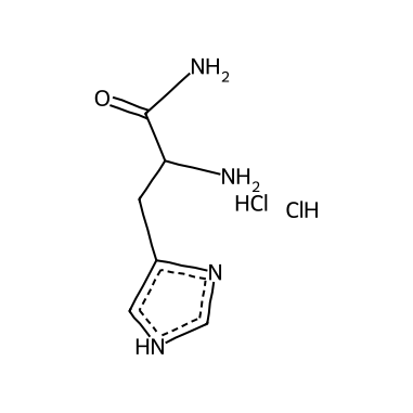 Cl.Cl.NC(=O)C(N)Cc1c[nH]cn1